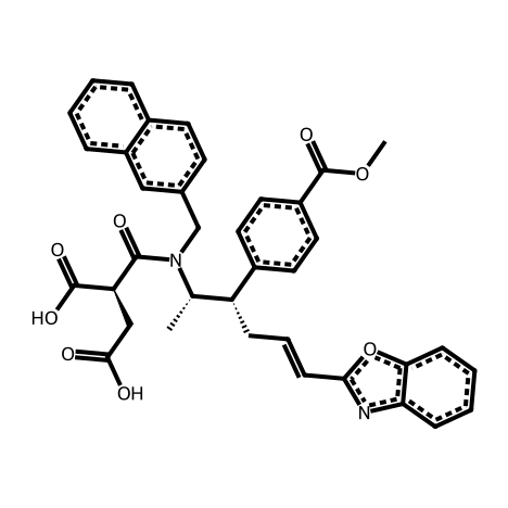 COC(=O)c1ccc([C@H](C/C=C/c2nc3ccccc3o2)[C@H](C)N(Cc2ccc3ccccc3c2)C(=O)[C@@H](CC(=O)O)C(=O)O)cc1